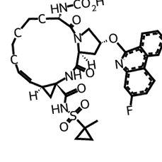 CC1(S(=O)(=O)NC(=O)[C@@]23C[C@H]2/C=C\CCCCC[C@H](NC(=O)O)C(=O)N2C[C@H](Oc4nc5cc(F)ccc5c5ccccc45)C[C@H]2C(=O)N3)CC1